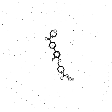 CC(C)(C)OC(=O)N1CCC(COc2ccc(C3=CCC(C(=O)N4CCOCC4)CC3)cc2F)CC1